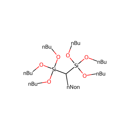 CCCCCCCCCC([Si](OCCCC)(OCCCC)OCCCC)[Si](OCCCC)(OCCCC)OCCCC